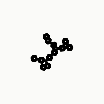 c1ccc(-c2ccc(N(c3ccc(-c4ccc5c(c4)c4cc(-c6ccc7ccccc7c6)ccc4n5-c4ccc5c6ccccc6c6ccccc6c5c4)cc3)c3cccc4ccccc34)cc2)cc1